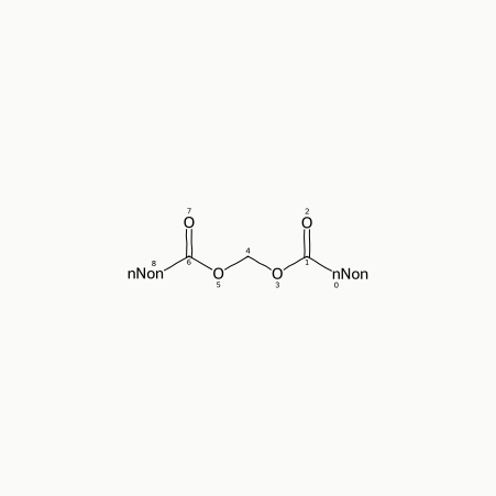 CCCCCCCCCC(=O)OCOC(=O)CCCCCCCCC